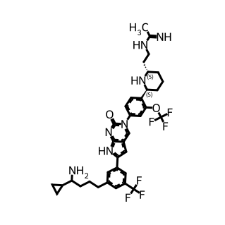 CC(=N)NCC[C@@H]1CCC[C@@H](c2ccc(-n3cc4cc(-c5cc(CCCC(N)C6CC6)cc(C(F)(F)F)c5)[nH]c4nc3=O)cc2OC(F)(F)F)N1